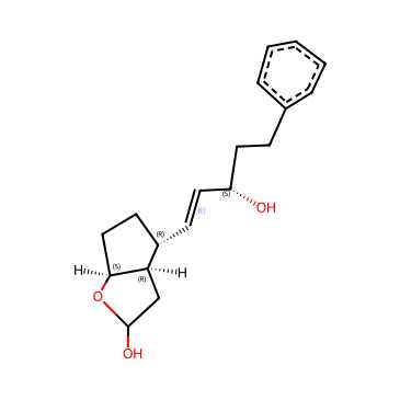 OC1C[C@H]2[C@H](CC[C@@H]2/C=C/[C@@H](O)CCc2ccccc2)O1